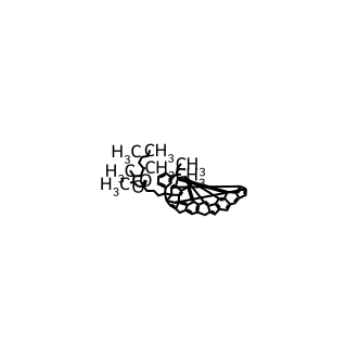 CCC(C)CC(C)CC(C)C(C)OC(=O)CCCC1(c2cccc(C(C)CC)c2)C23C=C4Cc5cc6c7c8c5c4c4c5c9c(c%10c(cc%11cc%12cc%13cc(c%14c%13c%13c%12c(c%11%10)c9c%13c(c%147)c58)C6)C2)C431